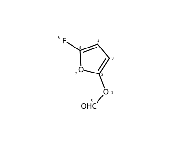 O=COc1ccc(F)o1